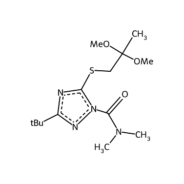 COC(C)(CSc1nc(C(C)(C)C)nn1C(=O)N(C)C)OC